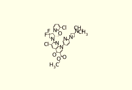 CCOC(=O)c1cn(-c2ccc(N3CC(N(C)C)C3)nc2)c2nc(N3CC(F)(F)C[C@@H]3COc3ncccc3Cl)c(Cl)cc2c1=O